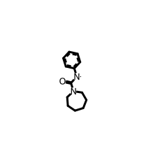 O=C([N]c1ccccc1)N1CCCCCC1